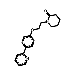 O=C1CCCCN1CCOc1cnc(-c2ccccn2)cn1